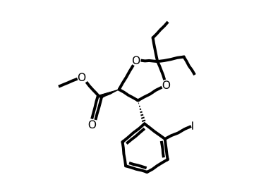 CCC1(CC)O[C@H](C(=O)OC)[C@@H](c2ccccc2I)O1